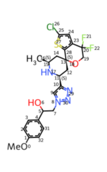 COc1ccc(C(O)Cn2cc([C@@H]3C[C@]4(C[C@H](C)N3)OCC(F)(F)c3cc(Cl)sc34)nn2)cc1